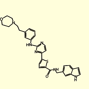 O=C(NCc1ccc2cc[nH]c2c1)c1ccc(-c2ccnc(Nc3cccc(CCN4CCOCC4)c3)n2)s1